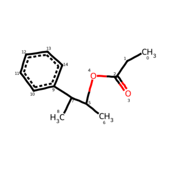 CCC(=O)OC(C)C(C)c1ccccc1